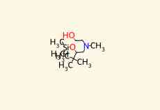 CN(CCO)CC(O[SiH](C)C)C(C)(C)C